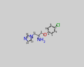 NC(COc1ccc(Cl)cc1)Cn1ccnc1